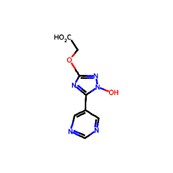 O=C(O)COc1nc(-c2cncnc2)n(O)n1